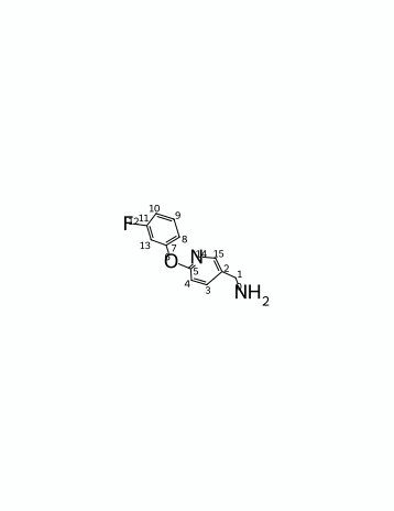 NCc1ccc(Oc2cccc(F)c2)nc1